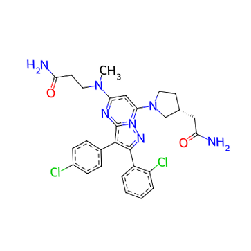 CN(CCC(N)=O)c1cc(N2CC[C@H](CC(N)=O)C2)n2nc(-c3ccccc3Cl)c(-c3ccc(Cl)cc3)c2n1